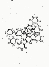 c1ccc(-c2ccc(N(c3ccc(-c4ccccc4)cc3)c3c4c(cc5c3oc3c(-c6ccccc6)cccc35)-c3ccccc3C43c4ccccc4-c4ccccc43)cc2)cc1